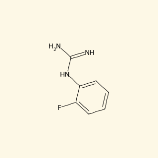 N=C(N)Nc1ccccc1F